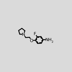 Nc1ccc(OCCN2CCCC2)c(F)c1